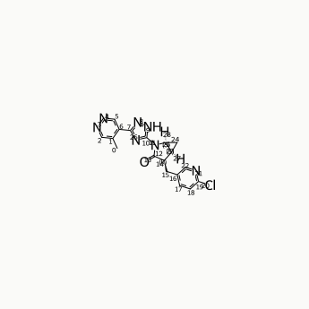 Cc1cnncc1-c1n[nH]c(N2C(=O)[C@H](Cc3ccc(Cl)nc3)[C@@H]3C[C@@H]32)n1